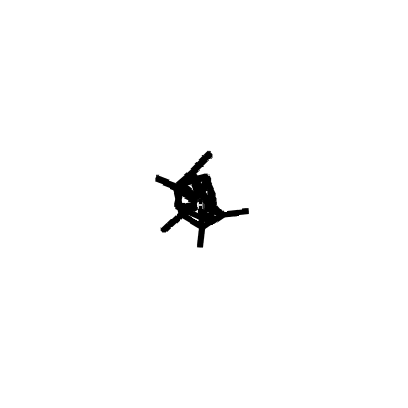 C[C]12[C]3(C)[C]4(C)[C]5(C)[C]1(C)[Ti]23451678[CH]2[CH]1[CH]6[CH]7[CH]28